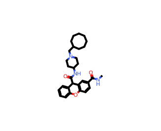 CNC(=O)c1ccc2c(c1)C(C(=O)NC1CCN(CC3CCCCCCC3)CC1)c1ccccc1O2